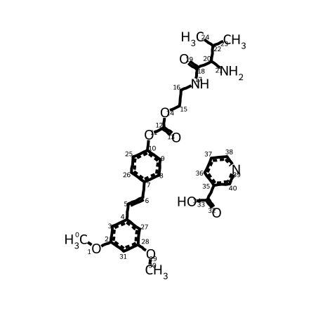 COc1cc(C=Cc2ccc(OC(=O)OCCNC(=O)C(N)C(C)C)cc2)cc(OC)c1.O=C(O)c1cccnc1